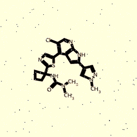 CN(C)C(=O)NC1(c2ncc(-c3c(Cl)cnc4[nH]c(-c5cnn(C)c5)cc34)s2)CCC1